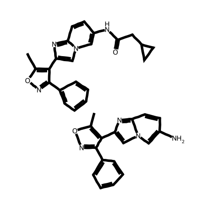 Cc1onc(-c2ccccc2)c1-c1cn2cc(N)ccc2n1.Cc1onc(-c2ccccc2)c1-c1cn2cc(NC(=O)CC3CC3)ccc2n1